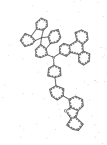 c1cc(-c2ccc(N(c3ccc4c5ccccc5c5ccccc5c4c3)c3cccc4c3-c3ccccc3C43c4ccccc4-c4ccccc43)cc2)cc(-c2cccc3c2oc2ccccc23)c1